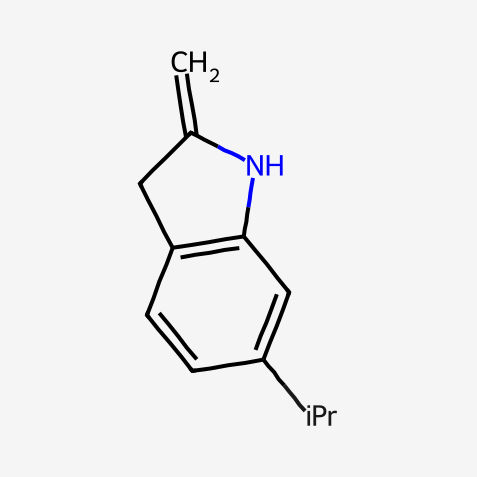 C=C1Cc2ccc(C(C)C)cc2N1